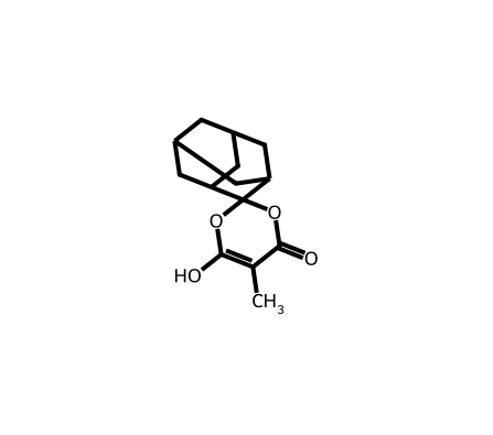 CC1=C(O)OC2(OC1=O)C1CC3CC(C1)CC2C3